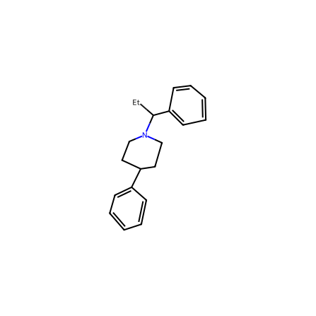 CCC(c1ccccc1)N1CCC(c2ccccc2)CC1